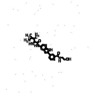 C/C(N)=C(\C)C(=N)C(=O)Nc1cnc2[nH]c(-c3ccnc(C(=O)NCCO)c3)cc2c1